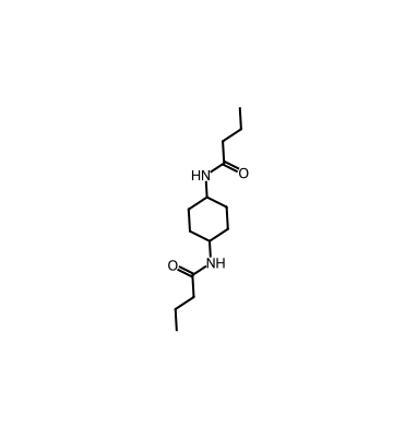 CCCC(=O)NC1CCC(NC(=O)CCC)CC1